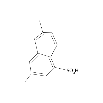 Cc1ccc2c(S(=O)(=O)O)cc(C)cc2c1